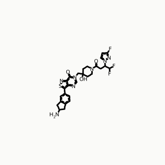 NC1Cc2ccc(-c3snc4c(=O)n(CC5(O)CCN(C(=O)CC(C(F)F)n6ccc(F)n6)CC5)cnc34)cc2C1